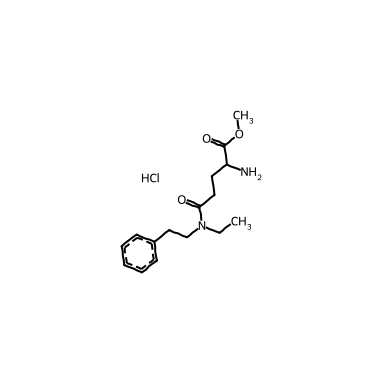 CCN(CCc1ccccc1)C(=O)CCC(N)C(=O)OC.Cl